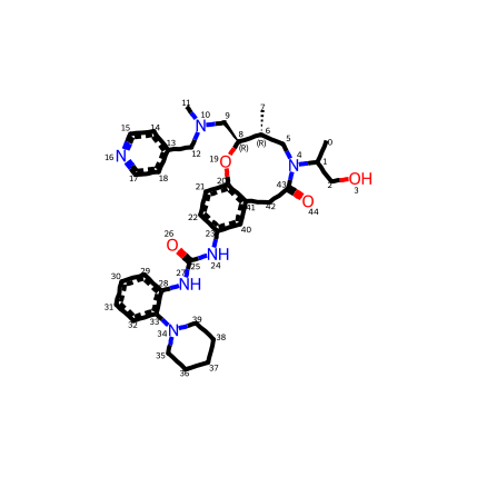 CC(CO)N1C[C@@H](C)[C@H](CN(C)Cc2ccncc2)Oc2ccc(NC(=O)Nc3ccccc3N3CCCCC3)cc2CC1=O